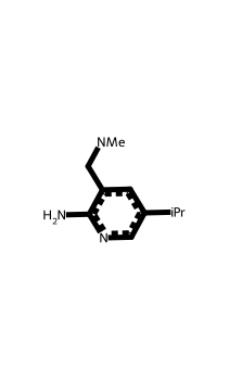 CNCc1cc(C(C)C)cnc1N